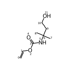 C=COC(=O)NC(C)(C)CCO